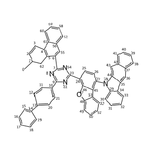 CC1C=Cc2c(c(-c3nc(-c4ccc(-c5ccccc5)cc4)nc(-c4ccc(-n5c6ccccc6c6cc7ccccc7cc65)c5c4oc4ccccc45)n3)cc3ccccc23)C1